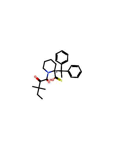 CCC(C)(C)C(=O)C(=O)N1CCCC[C@@]1(C(O)=S)C(C)(c1ccccc1)c1ccccc1